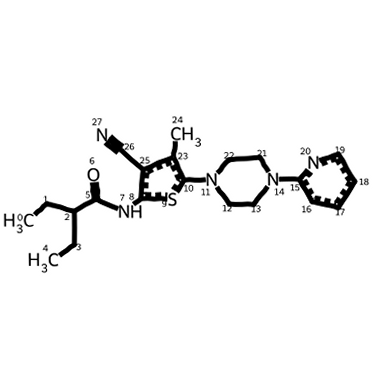 CCC(CC)C(=O)Nc1sc(N2CCN(c3ccccn3)CC2)c(C)c1C#N